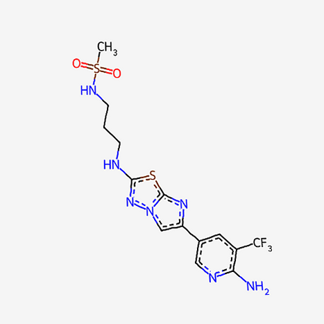 CS(=O)(=O)NCCCNc1nn2cc(-c3cnc(N)c(C(F)(F)F)c3)nc2s1